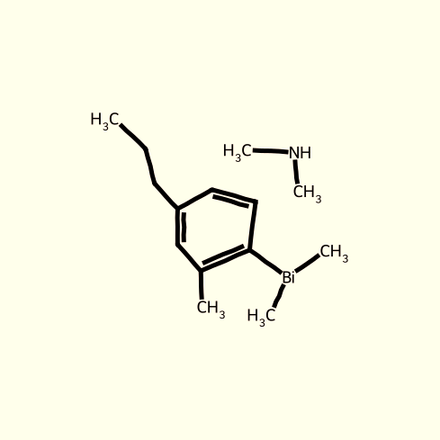 CCCc1cc[c]([Bi]([CH3])[CH3])c(C)c1.CNC